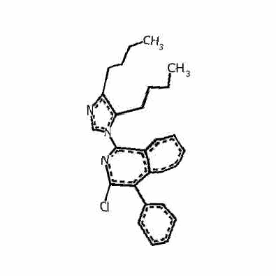 CCCCc1ncn(-c2nc(Cl)c(-c3ccccc3)c3ccccc23)c1CCCC